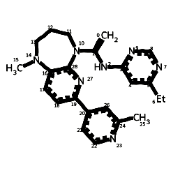 C=C(Nc1cc(CC)ncn1)N1CCCN(C)c2ccc(-c3ccnc(C)c3)nc21